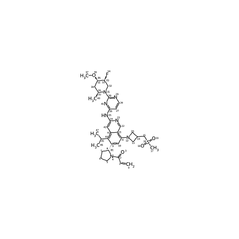 C=CC(=O)N1CCC[C@@H]1c1cc(N2CC(CS(C)(=O)=O)C2)c2cnc(Nc3ccnc(N4C[C@H](F)[C@H](OC)C[C@@H]4C)n3)cc2c1C(C)C